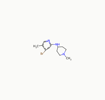 Cc1cnc(NC2CCN(C)CC2)cc1Br